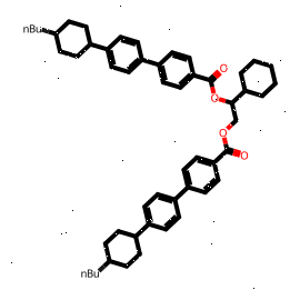 CCCCC1CCC(c2ccc(-c3ccc(C(=O)OCC(OC(=O)c4ccc(-c5ccc(C6CCC(CCCC)CC6)cc5)cc4)C4CCCCC4)cc3)cc2)CC1